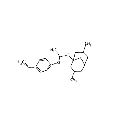 C=Cc1ccc(OC(C)OC23CC(C)CC(CC(C)C2)C3)cc1